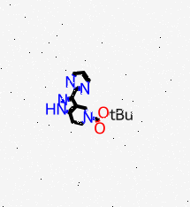 CC(C)(C)OC(=O)N1CCc2[nH]nc(-c3ncccn3)c2C1